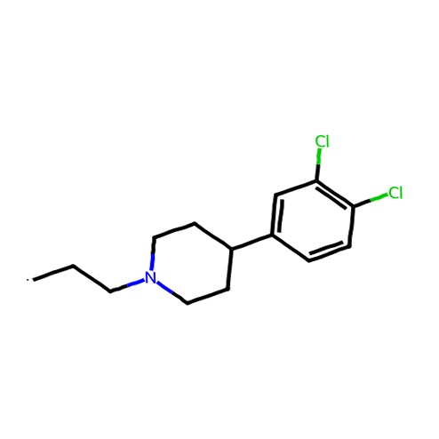 [CH2]CCN1CCC(c2ccc(Cl)c(Cl)c2)CC1